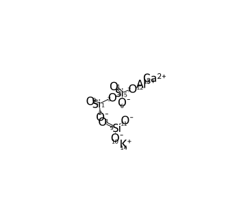 O=[Si]([O-])[O-].O=[Si]([O-])[O-].O=[Si]([O-])[O-].[Al+3].[Ca+2].[K+]